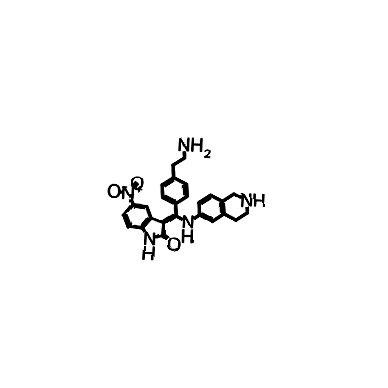 NCCc1ccc(/C(Nc2ccc3c(c2)CCNC3)=C2/C(=O)Nc3ccc([N+](=O)[O-])cc32)cc1